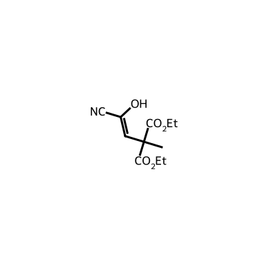 CCOC(=O)C(C)(C=C(O)C#N)C(=O)OCC